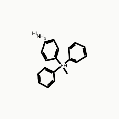 C[PH](c1ccccc1)(c1ccccc1)c1ccccc1.I.N